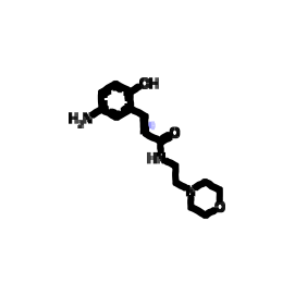 Nc1ccc(O)c(/C=C/C(=O)NCCN2CCOCC2)c1